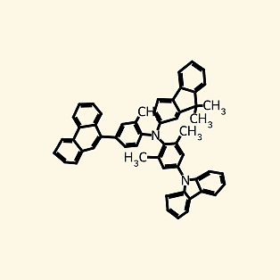 Cc1cc(-c2cc3ccccc3c3ccccc23)ccc1N(c1ccc2c(c1)C(C)(C)c1ccccc1-2)c1c(C)cc(-n2c3ccccc3c3ccccc32)cc1C